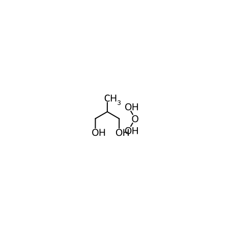 CC(CO)CO.OOO